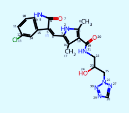 Cc1[nH]c(/C=C2\C(=O)Nc3ccc(Cl)cc32)c(C)c1C(=O)NCC(O)Cn1ncnn1